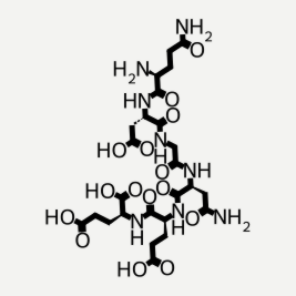 NC(=O)CC[C@H](N)C(=O)N[C@@H](CC(=O)O)C(=O)NCC(=O)N[C@@H](CC(N)=O)C(=O)N[C@@H](CCC(=O)O)C(=O)N[C@@H](CCC(=O)O)C(=O)O